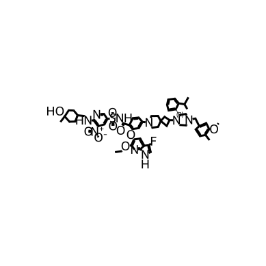 CCOc1nc2[nH]cc(F)c2cc1Oc1cc(N2CCC3(CC2)CC(N2CCN(Cc4ccc(C)c(OC)c4)C[C@H]2c2ccccc2C(C)C)C3)ccc1C(=O)NS(=O)(=O)c1cnc(NCC2CCC(C)(O)CC2)c([N+](=O)[O-])c1